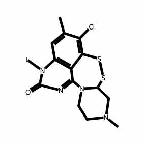 Cc1cc2c3c(nc(=O)n2I)N2CCN(C)CC2SSc3c1Cl